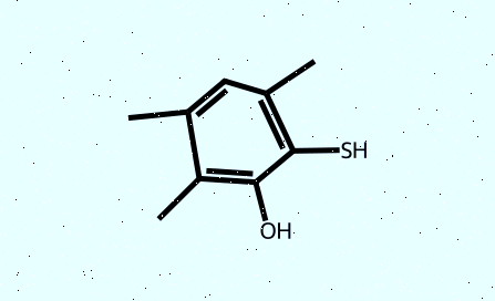 Cc1cc(C)c(S)c(O)c1C